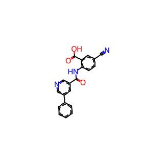 N#Cc1ccc(NC(=O)c2cncc(-c3ccccc3)c2)c(C(=O)O)c1